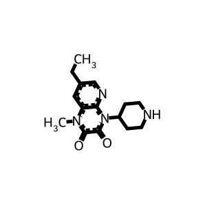 CCc1cnc2c(c1)n(C)c(=O)c(=O)n2C1CCNCC1